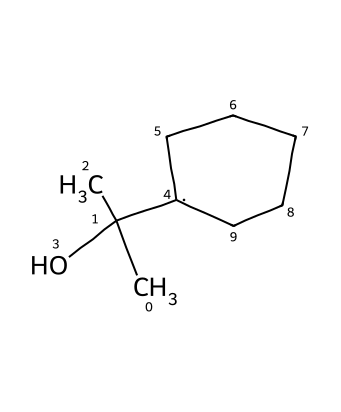 CC(C)(O)[C]1CCCCC1